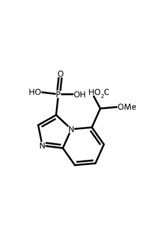 COC(C(=O)O)c1cccc2ncc(P(=O)(O)O)n12